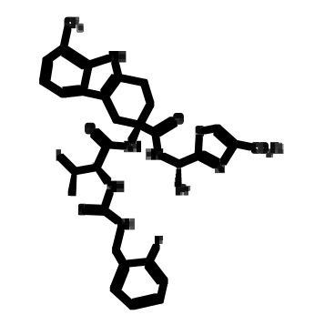 CCOC(=O)c1csc([C@@H](NC(=O)[C@@]2(NC(=O)[C@@H](NC(=S)NCc3ccccc3F)[C@@H](C)I)CCc3[nH]c4c(C(F)(F)F)cccc4c3C2)C(C)C)n1